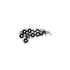 C=C/C=C\C=C/Cc1ccc(-c2ccc3oc4ccccc4c3c2-c2nc(-c3ccccc3)nc(-c3ccc(C4=CCC(C)(/C=C\C=C/C)C=C4)cc3)n2)cc1